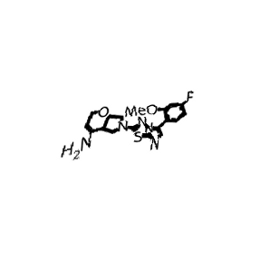 COc1cc(F)ccc1-c1cnc2sc(N3CC4OCC[C@H](N)C4C3)nn12